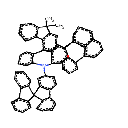 CC1(C)c2ccccc2-c2c(-c3ccccc3N(c3ccc(-c4cccc5cccc(-c6ccccc6)c45)cc3)c3ccc4c(c3)C3(c5ccccc5-c5ccccc53)c3ccccc3-4)cccc21